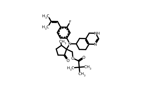 CC(C)=Cc1ccc(N(C2CCC3=C(CNC=N3)C2)C2(COC(=O)C(C)(C)C)C(=O)CCC2C)cc1F